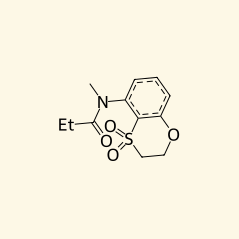 CCC(=O)N(C)c1cccc2c1S(=O)(=O)CCO2